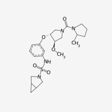 CO[C@@H]1CN(C(=O)N2CCCC2C)C[C@H]1Oc1cccc(NS(=O)(=O)N2CC3CC3C2)c1